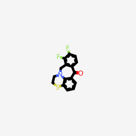 O=C1c2ccc(F)c(F)c2CN2CCSc3cccc1c32